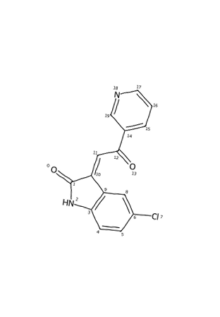 O=C1Nc2ccc(Cl)cc2/C1=C\C(=O)c1cccnc1